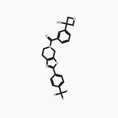 O=C(c1cccc(C2(O)COC2)c1)N1CCc2nc(-c3ccc(C(F)(F)F)cc3)sc2C1